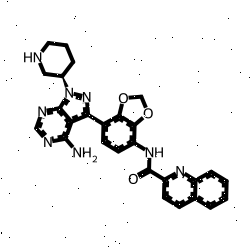 Nc1ncnc2c1c(-c1ccc(NC(=O)c3ccc4ccccc4n3)c3c1OCO3)nn2[C@@H]1CCCNC1